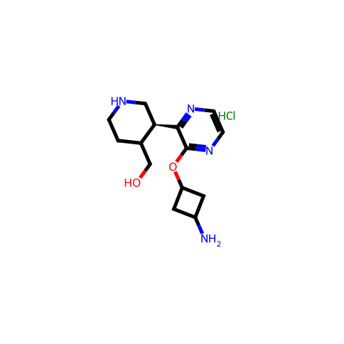 Cl.NC1CC(Oc2nccnc2[C@@H]2CNCCC2CO)C1